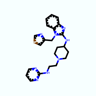 c1cnc(NCCN2CCC(Nc3nc4ccccc4n3Cc3cscn3)CC2)nc1